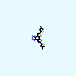 Cc1csc(-c2cc3c4nsnc4c4cc(-c5cc(C)cs5)sc4c3s2)c1